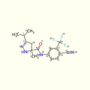 CC(C)C1=NNC(C)(C(=O)Nc2ccc(C#N)c(C(F)(F)F)c2)C1